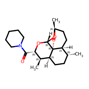 C[C@H]1[C@H](C(=O)N2CCCCC2)O[C@@H]2O[C@@]3(C)CC[C@H]4[C@H](C)CC[C@@H]1[C@@]24OO3